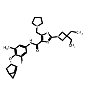 CCC1(CC)CN(c2nc(C(=O)Nc3cc(C)c(O[C@@H]4C=C5CC5C4)c(F)c3)c(CN3CCCC3)o2)C1